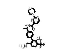 C[C@@H](NC(=O)c1ccnc(N2CCOCC2)n1)c1ccc(-c2c(CN)ccc(C(F)(F)F)c2Cl)cc1